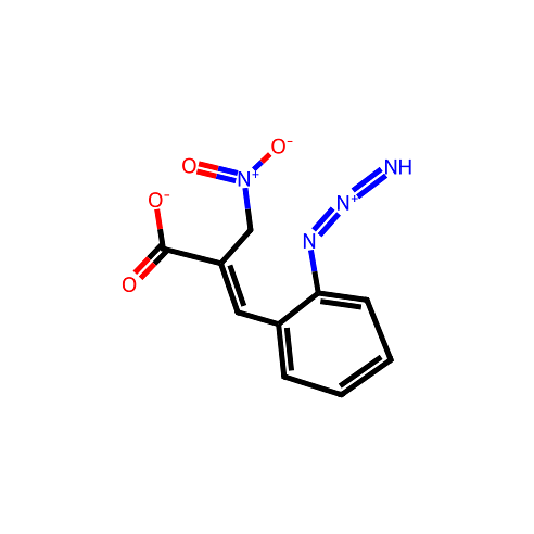 N=[N+]=Nc1ccccc1C=C(C[N+](=O)[O-])C(=O)[O-]